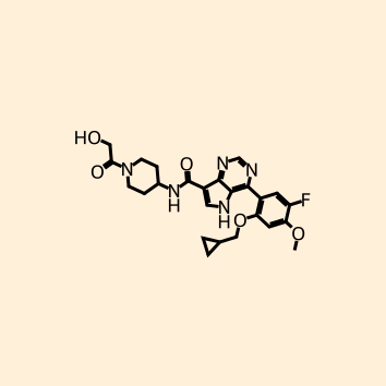 COc1cc(OCC2CC2)c(-c2ncnc3c(C(=O)NC4CCN(C(=O)CO)CC4)c[nH]c23)cc1F